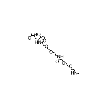 CNCCOCCOCC(=O)NCCOCCOCC(=O)NC(CCC(C)=O)C(=O)O